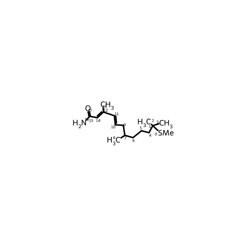 CSC(C)(C)CCCC(C)CC=CC(C)=CC(N)=O